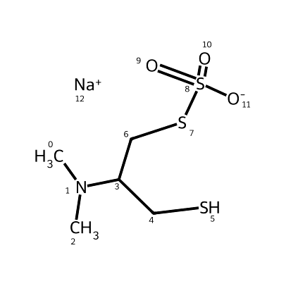 CN(C)C(CS)CSS(=O)(=O)[O-].[Na+]